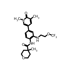 Cc1cc(-c2ccc(NC(=O)C3(C)CCOCC3)c(NCCOC(F)(F)F)c2)cn(C)c1=O